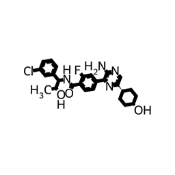 CC(O)C(NC(=O)c1ccc(-c2nc([C@H]3CC[C@H](O)CC3)cnc2N)cc1F)c1cccc(Cl)c1